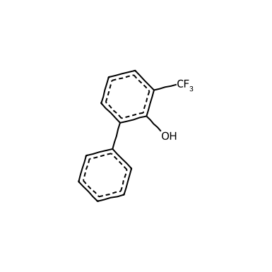 Oc1c(-c2ccccc2)cccc1C(F)(F)F